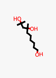 CC(C)(O)CC(C)(O)CCCCCCO